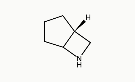 C1CC2NC[C@H]2C1